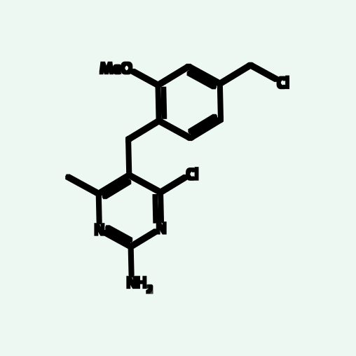 COc1cc(CCl)ccc1Cc1c(C)nc(N)nc1Cl